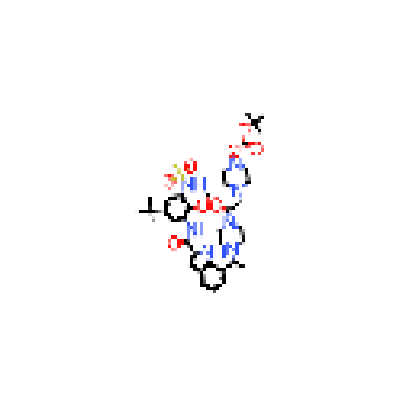 COc1c(NC(=O)c2cc3cccc(C(C)N4CCN(C(=O)CN5CCN(OC(=O)OC(C)(C)C)CC5)CC4)c3[nH]2)cc(C(C)(C)C)cc1NS(C)(=O)=O